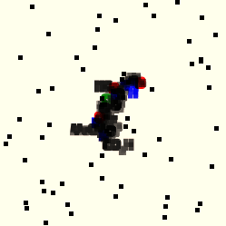 COc1nc(O[C@H]2CCc3c(-c4cccc(-c5ccc(CNC[C@@H]6CCC(=O)N6)c(OCC#N)n5)c4Cl)cccc32)c(C(F)(F)F)cc1CN(CCC(=O)O)C1CCCCC1